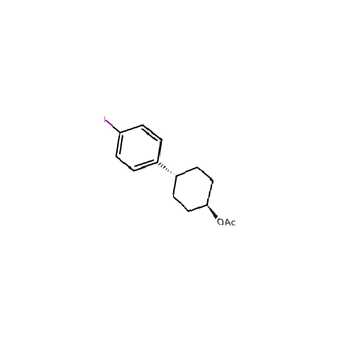 CC(=O)O[C@H]1CC[C@H](c2ccc(I)cc2)CC1